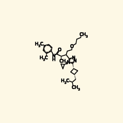 CCCCOCCC(c1nnc([C@H]2C[C@@H](CC(C)C)C2)n1C1CC1)C(C)C(=O)Nc1ccc(C)cc1C